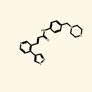 O=C(C=Cc1cnccc1-c1cnsc1)Nc1ccc(CN2CCOCC2)cc1